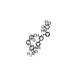 CN1CCN([C@@H]2CCCN(c3cnc(C(N)=O)c(Nc4ccc(C5CCN(Cc6ccccc6NC6CCC(=O)NC6=O)CC5)cc4)n3)C2)C1=O